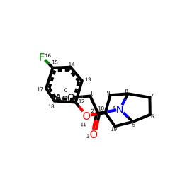 CC(=O)OCC(=O)N1C2CCC1CC(Oc1ccc(F)cc1)C2